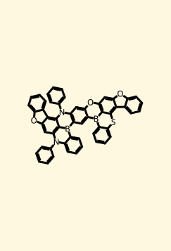 c1ccc(N2c3ccccc3B3c4cc5c(cc4N(c4ccccc4)c4c3c2cc2oc3ccccc3c42)Oc2cc3oc4ccccc4c3c3c2B5c2ccccc2S3)cc1